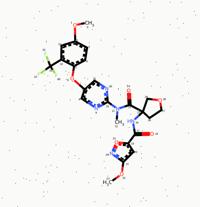 COc1ccc(Oc2cnc(N(C)C(=O)C3(NC(=O)c4cc(OC)no4)CCOC3)nc2)c(C(F)(F)F)c1